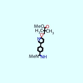 CNC(=N)c1ccc(-c2ccc(OCC(C)(C)C(=O)OC)nc2)cc1